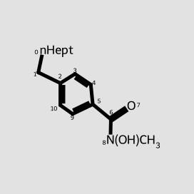 CCCCCCCCc1ccc(C(=O)N(C)O)cc1